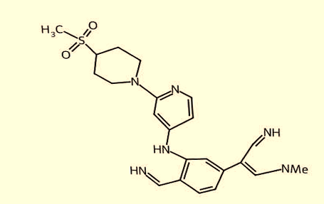 CN/C=C(\C=N)c1ccc(C=N)c(Nc2ccnc(N3CCC(S(C)(=O)=O)CC3)c2)c1